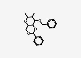 CC1OC2COC(c3ccccc3)OC2C(OCc2ccccc2)C1C